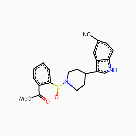 COC(=O)c1ccccc1[S+]([O-])N1CCC(c2c[nH]c3ccc(C#N)cc23)CC1